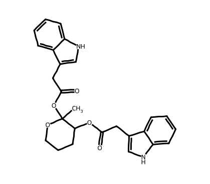 CC1(OC(=O)Cc2c[nH]c3ccccc23)OCCCC1OC(=O)Cc1c[nH]c2ccccc12